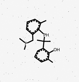 Cc1cccc(C(C)(C)Pc2c(C)cccc2CP(C)C)c1O